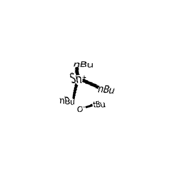 CC(C)(C)[O-].CCC[CH2][Sn+]([CH2]CCC)[CH2]CCC